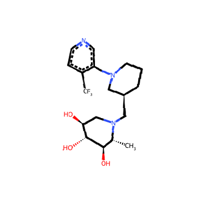 C[C@@H]1[C@@H](O)[C@H](O)[C@@H](O)CN1C[C@@H]1CCCN(c2cnccc2C(F)(F)F)C1